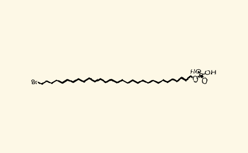 O=P(O)(O)OCCCCCCCCCCCCCCCCCCCCCCCCCCCCCCBr